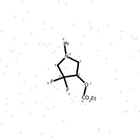 CCOC(=O)OC1CN(C(C)C)CC1(F)F